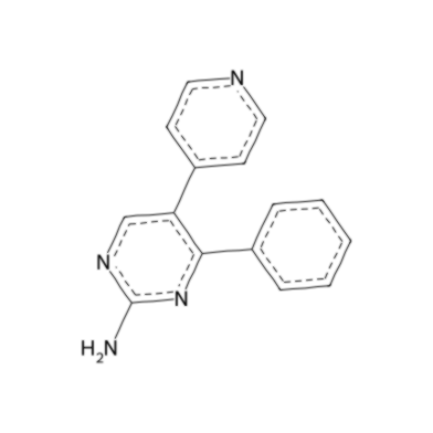 Nc1ncc(-c2ccncc2)c(-c2ccccc2)n1